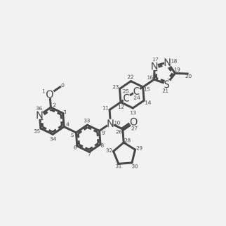 COc1cc(-c2cccc(N(CC34CCC(c5nnc(C)s5)(CC3)CC4)C(=O)C3CCCC3)c2)ccn1